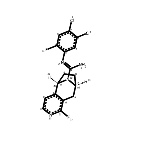 NC(=Nc1cc(Cl)c(Cl)cc1F)N1[C@H]2CC[C@@H]1c1ccnc(F)c1C2